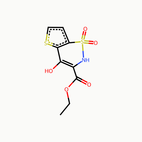 CCOC(=O)C1=C(O)c2sccc2S(=O)(=O)N1